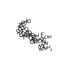 CC(=O)OC[C@@H](OC(C)=O)C1O[C@@H](OP(=O)(O)OP(=O)(O)OC[C@H]2O[C@@H](n3cnc4c(N)ncnc43)C(O)C2F)C(OC(C)=O)C(OC(C)=O)[C@@H]1OC(C)=O